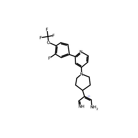 N=C/C(=C\N)C1CCN(c2ccnc(-c3ccc(OC(F)(F)F)c(F)c3)c2)CC1